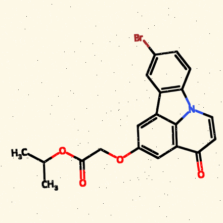 CC(C)OC(=O)COc1cc2c(=O)ccn3c4ccc(Br)cc4c(c1)c23